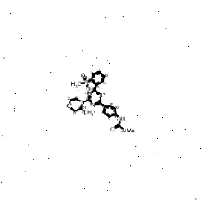 CNC(=O)Nc1ccc(-c2nc(-c3ccccc3S(C)(=O)=O)nc(N3CCOC[C@@H]3C)n2)cc1